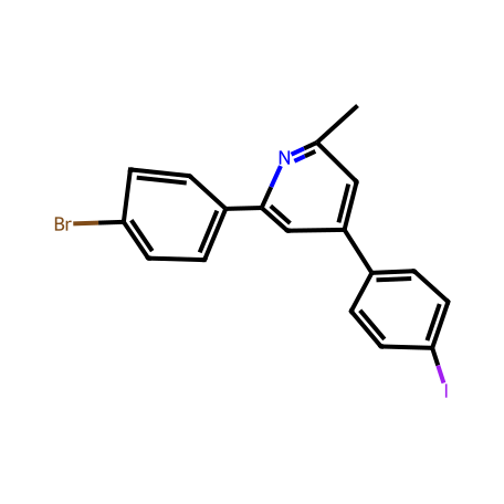 Cc1cc(-c2ccc(I)cc2)cc(-c2ccc(Br)cc2)n1